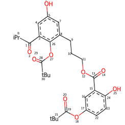 CC(C)C(=O)c1cc(O)cc(CCCOC(=O)c2cc(OC(=O)C(C)(C)C)ccc2O)c1OC(=O)C(C)(C)C